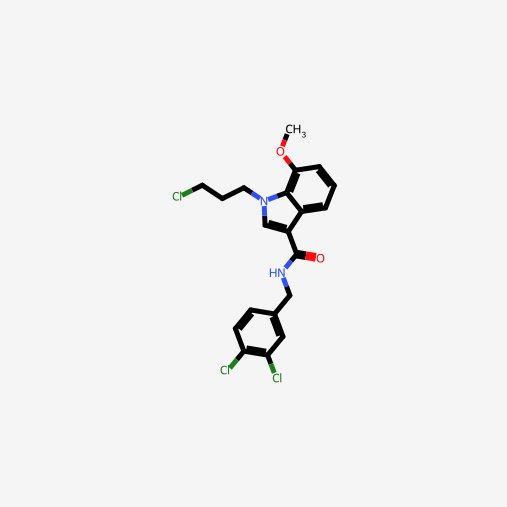 COc1cccc2c(C(=O)NCc3ccc(Cl)c(Cl)c3)cn(CCCCl)c12